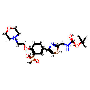 CC(C)(C)OC(=O)NCc1nc(-c2ccc(OCCN3CCOCC3)c(S(C)(=O)=O)c2)cs1